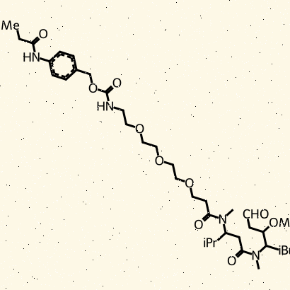 CCC(C)C(C(CC=O)OC)N(C)C(=O)CC(C(C)C)N(C)C(=O)CCOCCOCCOCCNC(=O)OCc1ccc(NC(=O)CNC)cc1